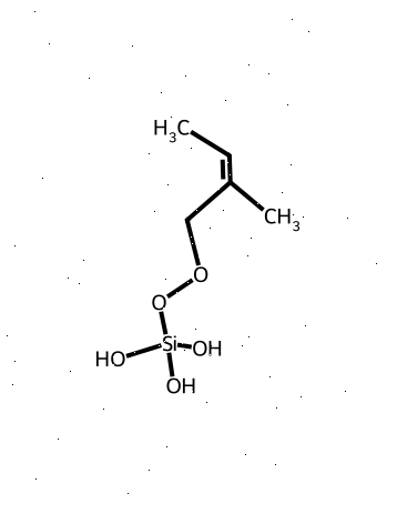 CC=C(C)COO[Si](O)(O)O